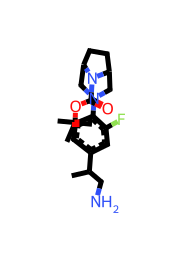 CC(CN)c1ccc(N2CC3CCC(C2)N3C(=O)OC(C)(C)C)c(F)c1